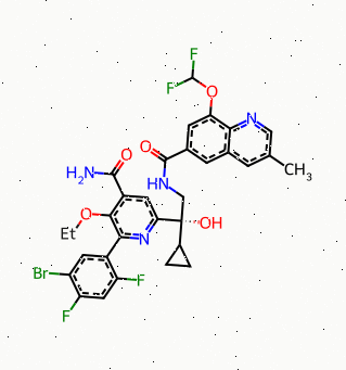 CCOc1c(C(N)=O)cc([C@@](O)(CNC(=O)c2cc(OC(F)F)c3ncc(C)cc3c2)C2CC2)nc1-c1cc(Br)c(F)cc1F